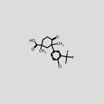 CC1(C(=O)O)CCC(=O)C(C)(c2ccc(Cl)c(C(F)(F)F)c2)C1